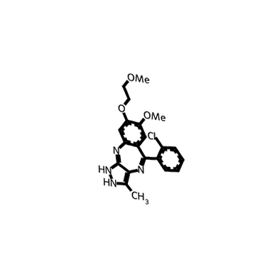 COCCOc1cc2c(cc1OC)C(c1ccccc1Cl)=NC1=C(C)NNC1=N2